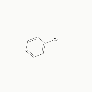 [Ga][c]1ccccc1